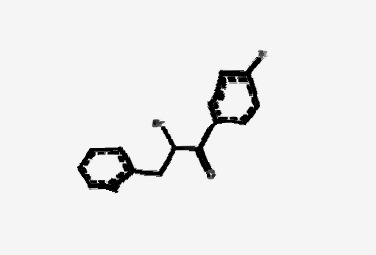 O=C(c1ccc(F)cc1)C(Br)Cc1ccccc1